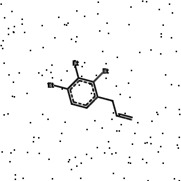 C=CCc1ccc(CC)c(CC)c1CC